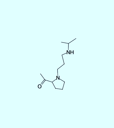 CC(=O)C1CCCN1CCCNC(C)C